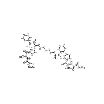 CN[C@@H](C)C(=O)N[C@H](C(=O)N1CCC[C@H]1CN(C(=O)CCCCCCCCC(=O)N(C[C@@H]1CCCN1C(=O)[C@@H](NC(=O)[C@H](C)NC)C(C)(C)C)c1ccccc1)c1ccccc1)C(C)(C)C